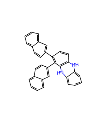 c1ccc2c(c1)Nc1ccc(-c3ccc4ccccc4c3)c(-c3ccc4ccccc4c3)c1N2